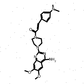 COc1cc2nc(N3CCN(C(=O)/C=C/c4ccc(N(C)C)cc4)CC3)nc(N)c2cc1OC